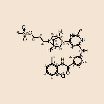 Cc1nc(Nc2ncc(C(=O)Nc3c(C)cccc3Cl)s2)cc(N2C[C@H]3C[C@@H]2CN3CCCOS(C)(=O)=O)n1